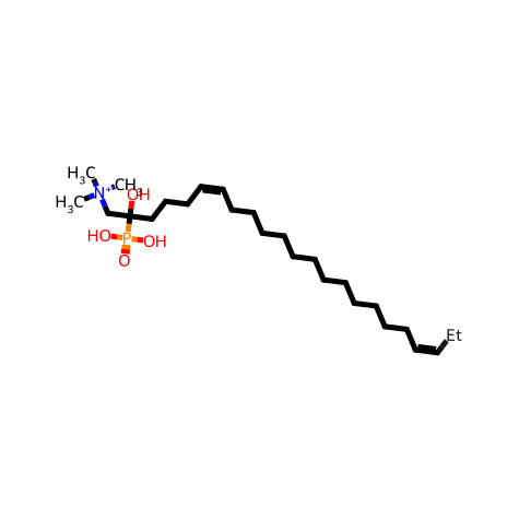 CC/C=C\CCCCCCCCCCCC/C=C\CCCC(O)(C[N+](C)(C)C)P(=O)(O)O